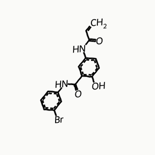 C=CC(=O)Nc1ccc(O)c(C(=O)Nc2cccc(Br)c2)c1